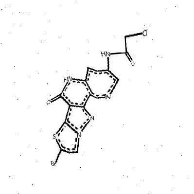 O=C(CCl)Nc1cnc2c(c1)[nH]c(=O)c1c2nn2cc(Br)sc12